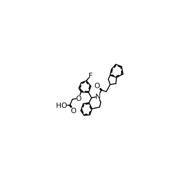 O=C(O)COc1ccc(F)cc1C1c2ccccc2CCN1C(=O)CC1Cc2ccccc2C1